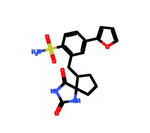 NS(=O)(=O)c1ccc(-c2ccco2)cc1CC1CCCC12NC(=O)NC2=O